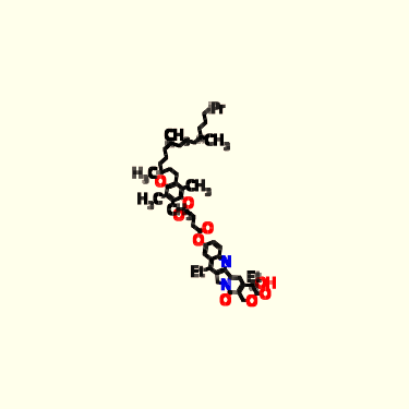 CCc1c2c(nc3ccc(OC(=O)CCC(=O)Oc4c(C)c(C)c5c(c4C)CCC(C)(CCC[C@H](C)CCC[C@H](C)CCCC(C)C)O5)cc13)-c1cc3c(c(=O)n1C2)COC(=O)[C@]3(O)CC